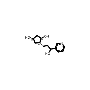 OC(CC[C@@H]1C[C@@H](O)C[C@H]1O)c1cccnc1